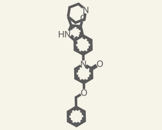 O=c1cc(OCc2ccccc2)ccn1-c1ccc2c3c([nH]c2c1)C1CCN(CC1)C3